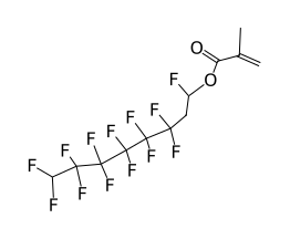 C=C(C)C(=O)OC(F)CC(F)(F)C(F)(F)C(F)(F)C(F)(F)C(F)(F)C(F)F